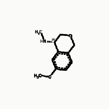 CN[C@@H]1COCc2ccc(OC)cc21